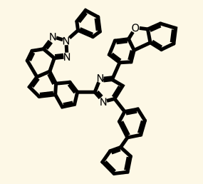 c1ccc(-c2cccc(-c3cc(-c4ccc5oc6ccccc6c5c4)nc(-c4ccc5ccc6ccc7nn(-c8ccccc8)nc7c6c5c4)n3)c2)cc1